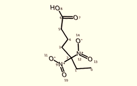 CCC(CCCC(=O)O)([N+](=O)[O-])[N+](=O)[O-]